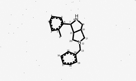 Cc1ccccc1C1NCC2CN(Cc3ccccc3)CC21